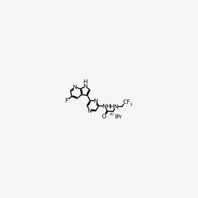 CC(C)[C@@H](NCC(F)(F)F)C(=O)Nc1cncc(-c2c[nH]c3ncc(F)cc23)n1